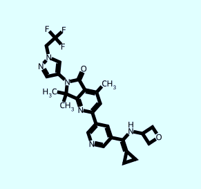 Cc1cc(-c2cncc(C(NC3COC3)=C3CC3)c2)nc2c1C(=O)N(c1cnn(CC(F)(F)F)c1)C2(C)C